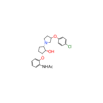 CC(=O)Nc1ccccc1O[C@@H]1CC[C@H](N2CCC(Oc3ccc(Cl)cc3)C2)[C@H]1O